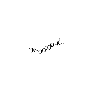 CCCN(CCC)CCCOc1ccc2c(c1)Cc1cc(OCCCN(CCC)CCC)ccc1-2